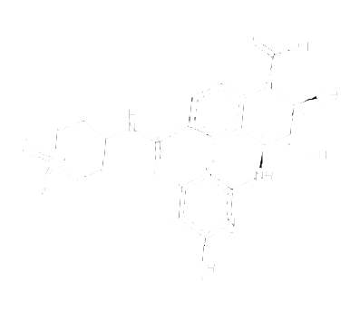 CC(=O)N1c2ccc(C(=O)NC3CCS(=O)(=O)CC3)cc2[C@H](Nc2nccc(C)n2)[C@@H](C)[C@@H]1C